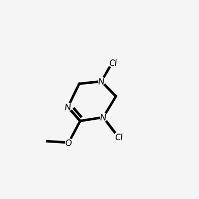 COC1=NCN(Cl)CN1Cl